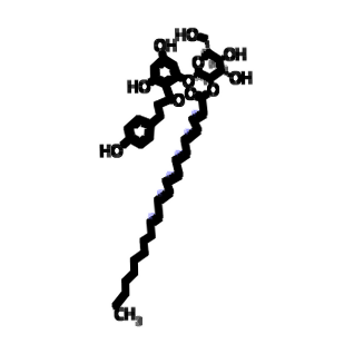 CCCCCCCCC/C=C/C=C/C=C/C=C/C=C/C=C/C(=O)O[C@H]1[C@H](Oc2cc(O)cc(O)c2C(=O)CCc2ccc(O)cc2)O[C@H](CO)[C@@H](O)[C@@H]1O